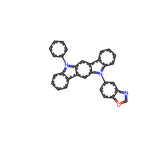 c1ccc(-n2c3ccccc3c3cc4c(cc32)c2ccccc2n4-c2ccc3ocnc3c2)cc1